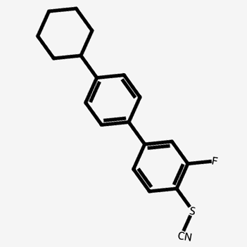 N#CSc1ccc(-c2ccc(C3CCCCC3)cc2)cc1F